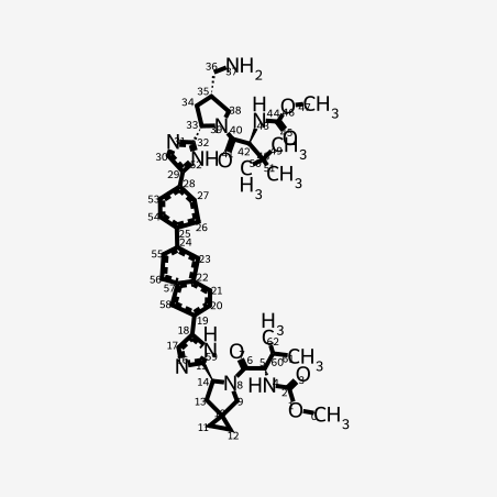 COC(=O)N[C@H](C(=O)N1CC2(CC2)C[C@H]1c1ncc(-c2ccc3cc(-c4ccc(-c5cnc([C@@H]6C[C@H](CN)CN6C(=O)[C@@H](NC(=O)OC)C(C)(C)C)[nH]5)cc4)ccc3c2)[nH]1)C(C)C